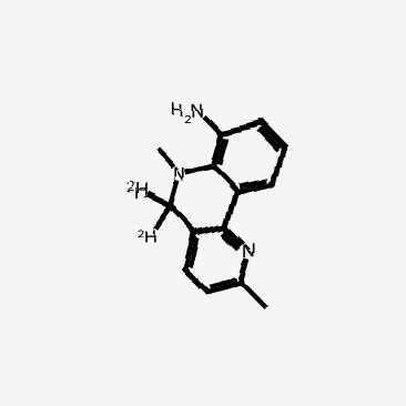 [2H]C1([2H])c2ccc(C)nc2-c2cccc(N)c2N1C